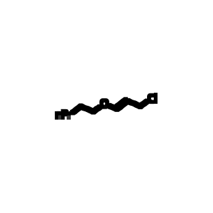 CCCCCOC=CCCl